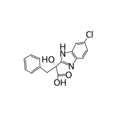 O=C(O)[C@@](O)(Cc1ccccc1)c1nc2ccc(Cl)cc2[nH]1